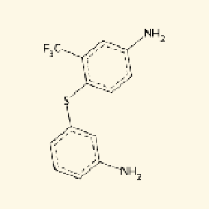 Nc1cccc(Sc2ccc(N)cc2C(F)(F)F)c1